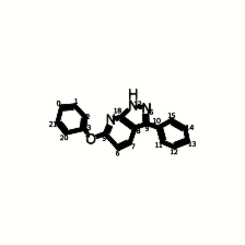 c1ccc(Oc2ccc3c(-c4ccccc4)n[nH]c3n2)cc1